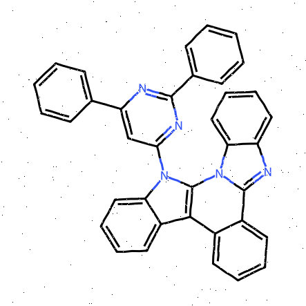 c1ccc(-c2cc(-n3c4ccccc4c4c5ccccc5c5nc6ccccc6n5c43)nc(-c3ccccc3)n2)cc1